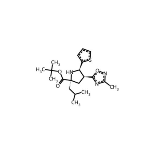 Cc1noc([C@H]2C[C@@](CC(C)C)(C(=O)OC(C)(C)C)N[C@H]2c2cccs2)n1